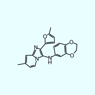 Cc1ccn2c(Nc3ccc4c(c3)OCCO4)c(-c3ccc(C)o3)nc2c1